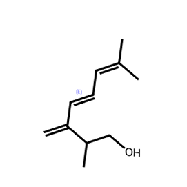 C=C(/C=C/C=C(C)C)C(C)CO